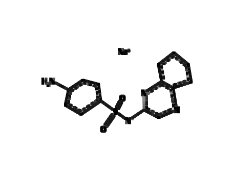 Nc1ccc(S(=O)(=O)[N-]c2cnc3ccccc3n2)cc1.[Na+]